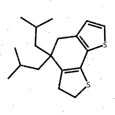 CC(C)CC1(CC(C)C)Cc2ccsc2C2=C1CCS2